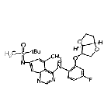 Cc1cc(N=S(C)(=O)C(C)(C)C)cc2ncnc(Nc3ccc(F)cc3O[C@@H]3CO[C@@H]4CCO[C@@H]43)c12